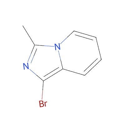 Cc1nc(Br)c2ccccn12